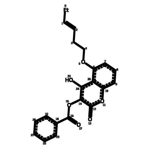 CC/C=C/CCOc1cccc2oc(=O)c(OC(=O)c3ccccc3)c(O)c12